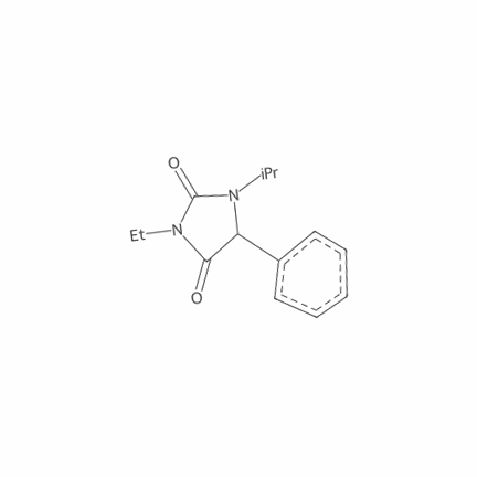 CCN1C(=O)C(c2ccccc2)N(C(C)C)C1=O